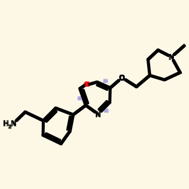 C\C=C(/N=C\C(=C/C)OCC1CCN(C)CC1)c1cccc(CN)c1